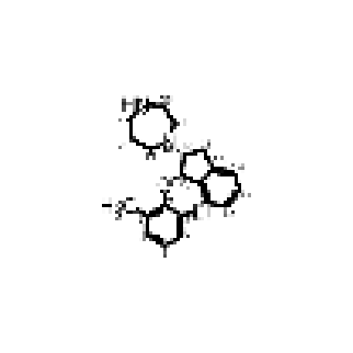 Cc1cccc(Cl)c1O[C@H]1c2ccccc2C[C@H]1N1CCCNCC1